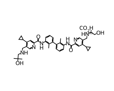 Cc1c(NC(=O)c2cc(C3CC3)c(CNCC(C)(C)O)cn2)cccc1-c1cccc(NC(=O)c2cc(C3CC3)c(CN[C@H](CO)C(=O)O)cn2)c1C